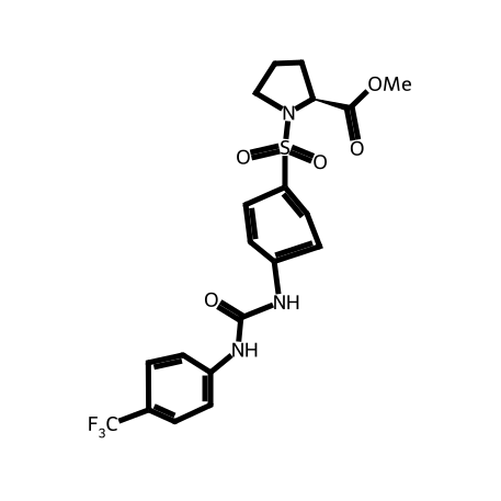 COC(=O)[C@@H]1CCCN1S(=O)(=O)c1ccc(NC(=O)Nc2ccc(C(F)(F)F)cc2)cc1